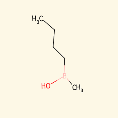 CCCCB(C)O